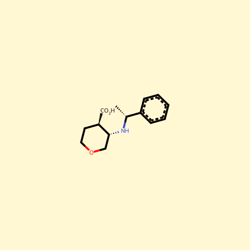 C[C@@H](N[C@@H]1COCC[C@H]1C(=O)O)c1ccccc1